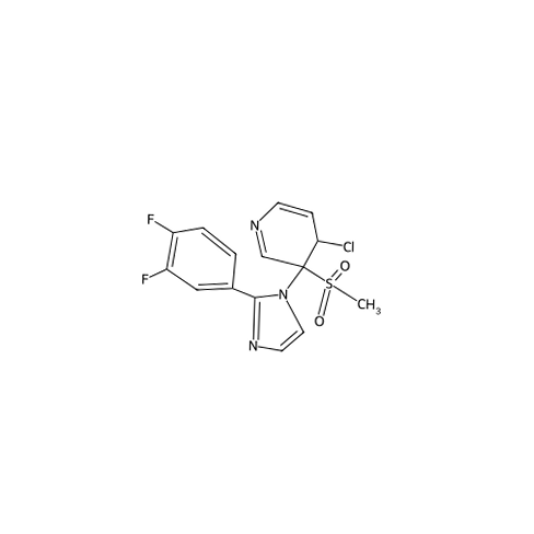 CS(=O)(=O)C1(n2ccnc2-c2ccc(F)c(F)c2)C=NC=CC1Cl